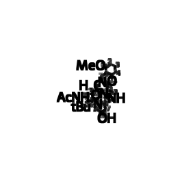 COc1ccccc1CN(C)C(=O)c1c[nH]c([C@@H]2C[C@@H](O)CN2C(=O)[C@@H](NC(C)=O)C(C)(C)C)n1